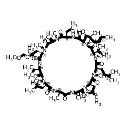 C=C1C(=O)N(C)[C@@H](CC(C)(C)OCOC)C(=O)N[C@H](C(C)C)C(=O)N(C)[C@H](CC(C)C)C(=O)N[C@H](C)C(=O)N[C@@H](C)C(=O)N(C)[C@H](CC(C)C)C(=O)N(C)[C@H](CCC(C)C)C(=O)N(C)[C@H](C(C)C)C(=O)N(C)[C@@H]([C@H](O)[C@H](C)C/C=C/C)C(=O)N[C@H](CC)C(=O)N1C